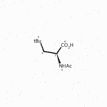 CC(=O)N[C@@H](CC(C)(C)C)C(=O)O